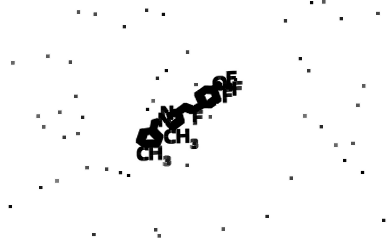 Cc1ccc(Cn2nc(C=C(F)c3ccc(OC(F)(F)F)cc3)cc2C)cc1